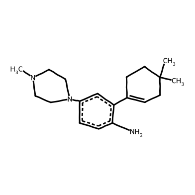 CN1CCN(c2ccc(N)c(C3=CCC(C)(C)CC3)c2)CC1